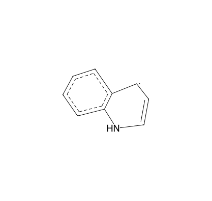 [CH]1C=CNc2ccccc21